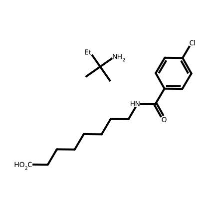 CCC(C)(C)N.O=C(O)CCCCCCCNC(=O)c1ccc(Cl)cc1